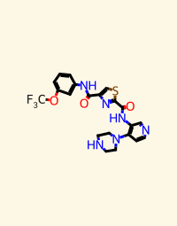 O=C(Nc1cccc(OC(F)(F)F)c1)c1csc(C(=O)Nc2cnccc2N2CCNCC2)n1